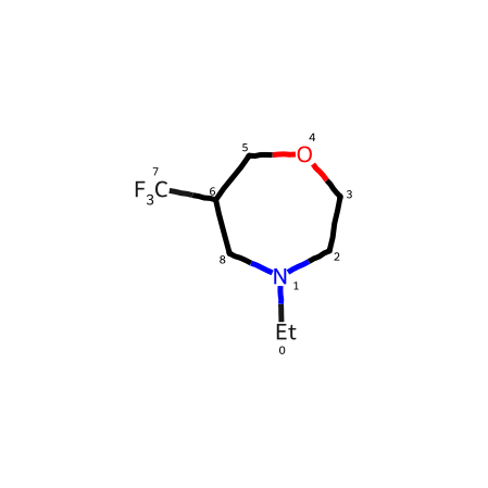 CCN1CCOCC(C(F)(F)F)C1